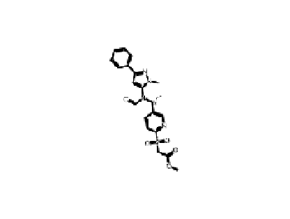 COC(=O)CS(=O)(=O)c1ccc([C@@H](C)N(C=O)c2cc(-c3ccccc3)nn2C)cn1